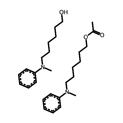 CC(=O)OCCCCCCN(C)c1ccccc1.CN(CCCCCCO)c1ccccc1